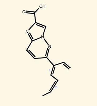 C=C/C(=C\C=C/C)c1ccc2nc(C(=O)O)cn2n1